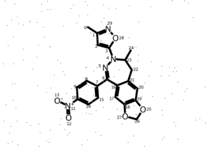 Cc1cc(N2N=C(c3ccc([N+](=O)[O-])cc3)c3cc4c(cc3CC2C)OCO4)on1